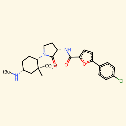 CC(C)(C)N[C@@H]1CC[C@H](N2CC[C@H](NC(=O)c3ccc(-c4ccc(Cl)cc4)o3)C2=O)[C@](C)(C(=O)O)C1